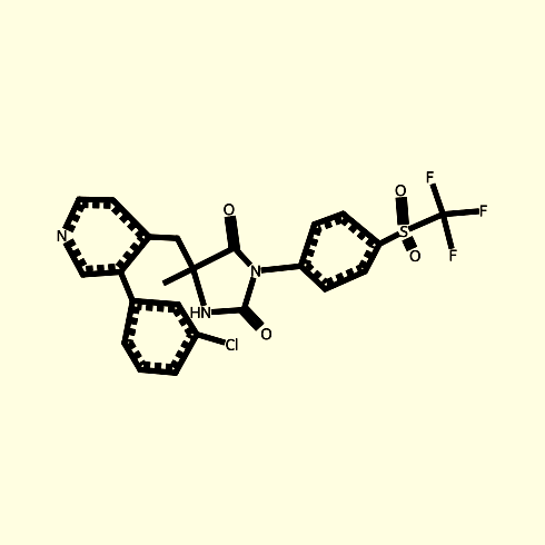 CC1(Cc2ccncc2-c2cccc(Cl)c2)NC(=O)N(c2ccc(S(=O)(=O)C(F)(F)F)cc2)C1=O